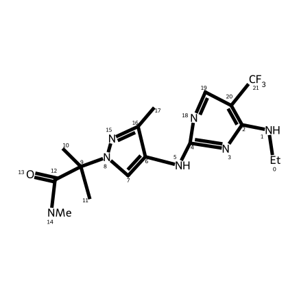 CCNc1nc(Nc2cn(C(C)(C)C(=O)NC)nc2C)ncc1C(F)(F)F